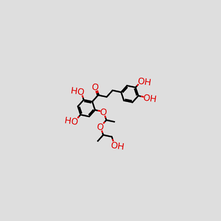 CC(CO)OC(C)Oc1cc(O)cc(O)c1C(=O)CCc1ccc(O)c(O)c1